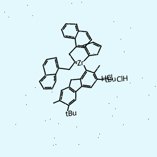 Cc1cc2c(cc1C(C)(C)C)-c1cc(C(C)(C)C)c(C)[c]([Zr]([C]3=CC=CC3)=[C](Cc3cccc4ccccc34)Cc3cccc4ccccc34)c1C2.Cl.Cl